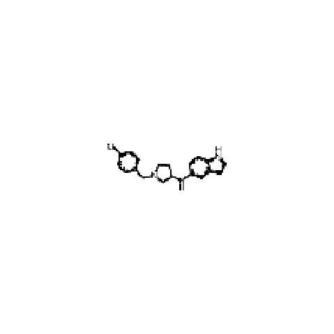 Clc1ccc(CN2CC[C@@H](Nc3ccc4[nH]ccc4c3)C2)cc1